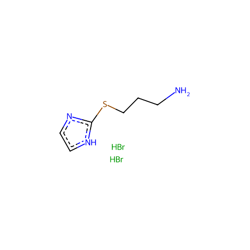 Br.Br.NCCCSc1ncc[nH]1